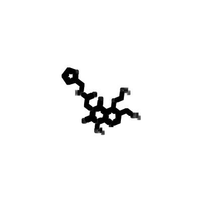 CCOc1c(CC)cnc2c1c(=O)n(CC(=O)NCc1ccco1)c(=O)n2C